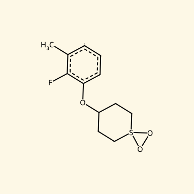 Cc1[c]ccc(OC2CCS3(CC2)OO3)c1F